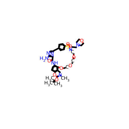 CN(Cc1cccc2c1OCCOCCOCCN(CCN1CCOCC1)S(=O)(=O)c1ccc(cc1)-c1cnc(N)c(n1)C(=O)N2)C(=O)OC(C)(C)C